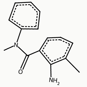 Cc1cccc(C(=O)N(C)c2ccccc2)c1N